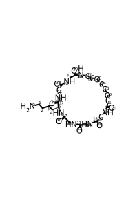 NCCCC[C@@H]1NC(=O)CNC(=O)CNC(=O)CNC(=O)COCCOCCNC(=O)CNC(=O)CNC1=O